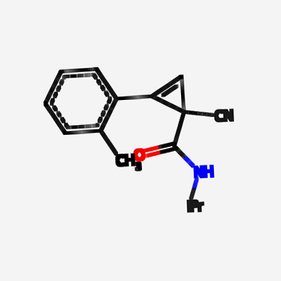 Cc1ccccc1C1=CC1(C#N)C(=O)NC(C)C